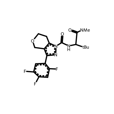 CNC(=O)C(NC(=O)n1nc(-c2cc(F)c(F)cc2F)c2c1CCOC2)C(C)(C)C